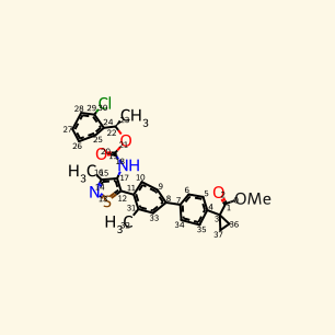 COC(=O)C1(c2ccc(-c3ccc(-c4snc(C)c4NC(=O)O[C@H](C)c4ccccc4Cl)c(C)c3)cc2)CC1